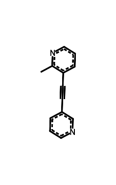 Cc1ncccc1C#Cc1cccnc1